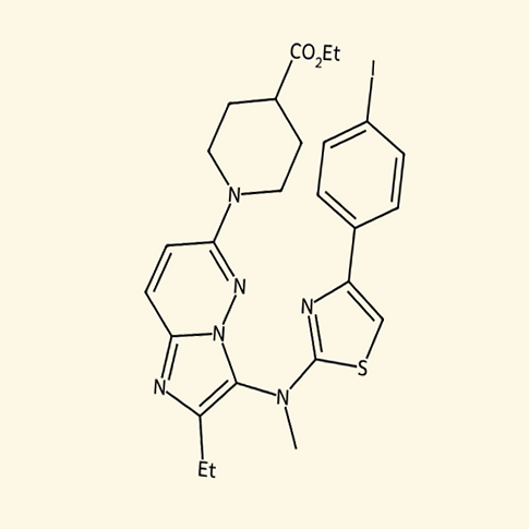 CCOC(=O)C1CCN(c2ccc3nc(CC)c(N(C)c4nc(-c5ccc(I)cc5)cs4)n3n2)CC1